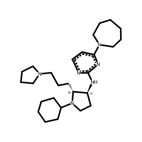 c1cc(N2CCCCCC2)nc(N[C@H]2CCN(C3CCCCC3)[C@@H]2CCCN2CCCC2)n1